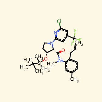 C=CCc1ccc(C)cc1N(C)C(=O)[C@@H]1[C@H](O[Si](C)(C)C(C)(C)C)CCN1c1cc(C(F)(F)F)cc(Cl)n1